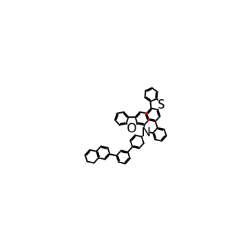 C1=Cc2ccc(-c3cccc(C4=CCC(N(c5ccccc5-c5ccc6c(c5)sc5ccccc56)c5cccc6c5oc5ccccc56)C=C4)c3)cc2CC1